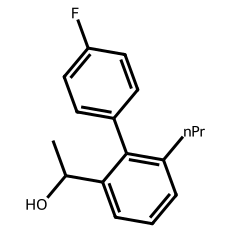 CCCc1cccc(C(C)O)c1-c1ccc(F)cc1